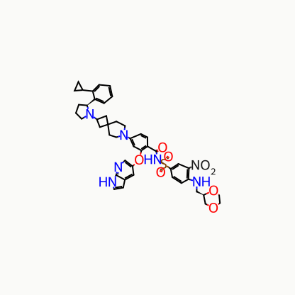 O=C(NS(=O)(=O)c1ccc(NC[C@@H]2COCCO2)c([N+](=O)[O-])c1)c1ccc(N2CCC3(CC2)CC(N2CCC[C@H]2c2ccccc2C2CC2)C3)cc1Oc1cnc2[nH]ccc2c1